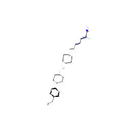 CCCc1ccc([C@H]2CC[C@H](OC[C@H]3CC[C@H](CC/C=C/C=C(\F)C#N)CC3)CC2)cc1